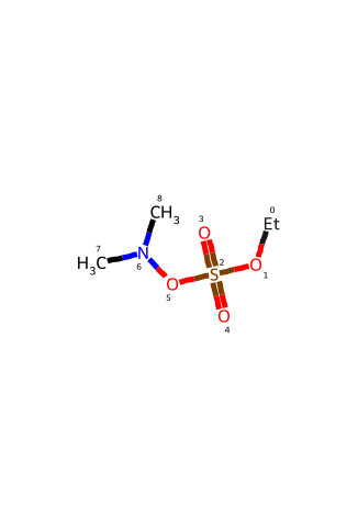 CCOS(=O)(=O)ON(C)C